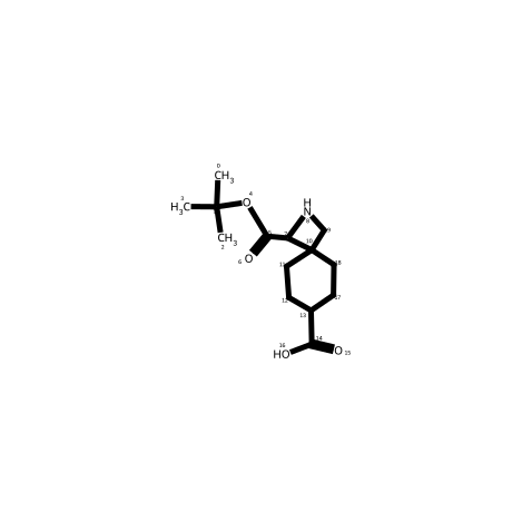 CC(C)(C)OC(=O)C1NCC12CCC(C(=O)O)CC2